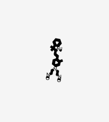 Cc1cc(N(CCN=O)CCN=O)ccc1/C=C/C1=[N+](C)c2ccccc2C1(C)C